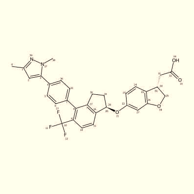 Cc1cc(-c2ccc(-c3c(C(F)(F)F)ccc4c3CC[C@H]4Oc3ccc4c(c3)OC[C@H]4CC(=O)O)cc2)n(C)n1